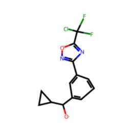 [O]C(c1cccc(-c2noc(C(F)(F)Cl)n2)c1)C1CC1